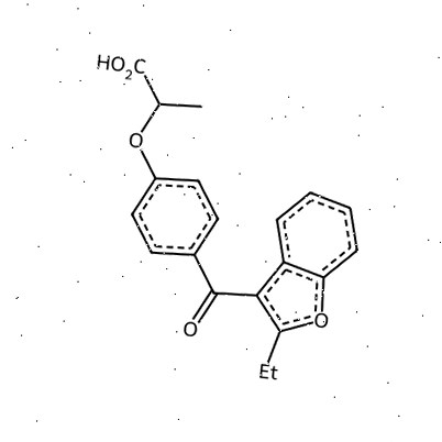 CCc1oc2ccccc2c1C(=O)c1ccc(OC(C)C(=O)O)cc1